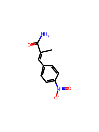 C/C(=C\c1ccc([N+](=O)[O-])cc1)C(N)=O